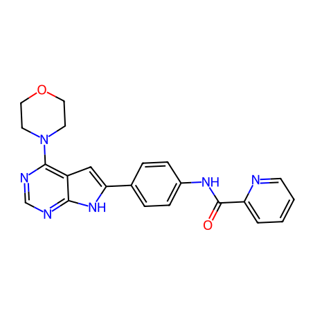 O=C(Nc1ccc(-c2cc3c(N4CCOCC4)ncnc3[nH]2)cc1)c1ccccn1